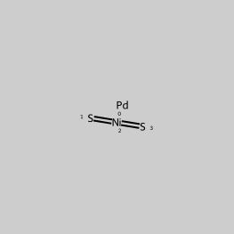 [Pd].[S]=[Ni]=[S]